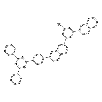 N#Cc1cc(-c2ccc3ccccc3c2)cc(-c2ccc3ccc(-c4ccc(-c5nc(-c6ccccc6)nc(-c6ccccc6)n5)cc4)cc3c2)c1